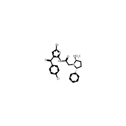 CCc1cc(C(=O)c2ccc(Cl)cc2)c(NC(=O)CN2[C@@H](C(=O)O)CC[C@@H]2c2ccccc2)s1